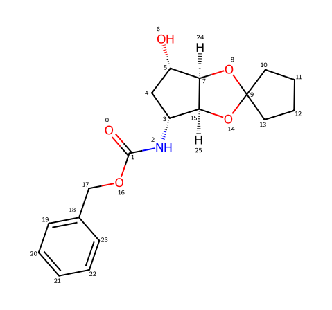 O=C(N[C@@H]1C[C@H](O)[C@H]2OC3(CCCC3)O[C@H]21)OCc1ccccc1